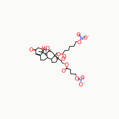 C[C@]12CCC(=O)C=C1CCC1C3CC[C@](OC(=O)CCCCCO[N+](=O)[O-])(C(=O)COC(=O)CCCO[N+](=O)[O-])[C@@]3(C)C[C@H](O)[C@@H]12